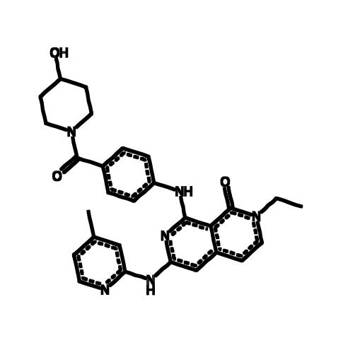 CCn1ccc2cc(Nc3cc(C)ccn3)nc(Nc3ccc(C(=O)N4CCC(O)CC4)cc3)c2c1=O